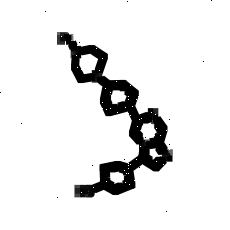 CC(C)N1CCN(c2ccc(-c3cn4c(-c5ccc(O)cc5)cnc4cn3)cc2)CC1